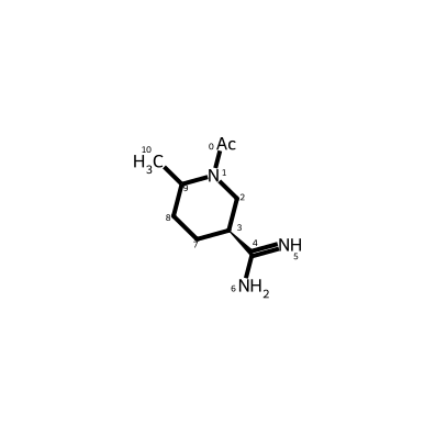 CC(=O)N1C[C@@H](C(=N)N)CCC1C